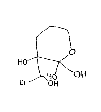 CCC(O)C1(O)CCCOC1(O)O